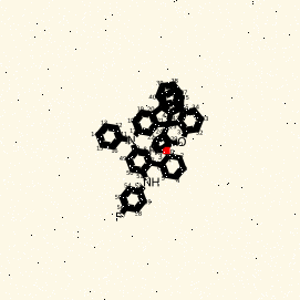 CC1CC=CC=C1c1cc(N(c2ccccc2)c2ccc3c(c2)C2(c4ccccc4Oc4cccc(-c5ccccc5)c42)c2ccccc2-3)ccc1Nc1ccc(F)cc1